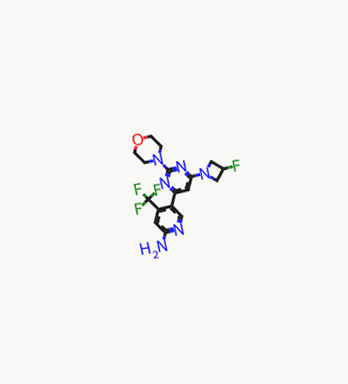 Nc1cc(C(F)(F)F)c(-c2cc(N3CC(F)C3)nc(N3CCOCC3)n2)cn1